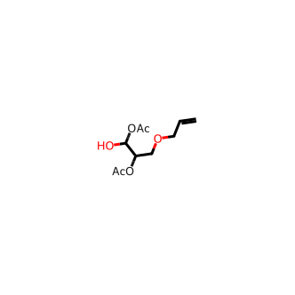 C=CCOCC(OC(C)=O)C(O)OC(C)=O